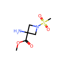 COC(=O)C1(N)CN(S(C)(=O)=O)C1